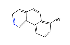 CC(C)c1cccc2c1ccc1ccncc12